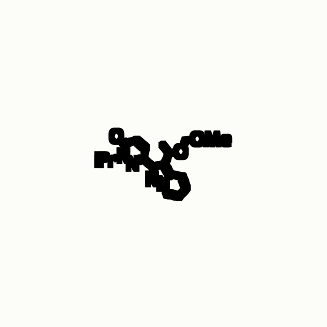 COCOC(C)c1c(-c2ccc(=O)n(C(C)C)n2)nn2ccccc12